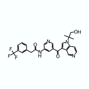 CC(C)(CO)n1cc(C(=O)c2cncc(NC(=O)Cc3cccc(C(F)(F)F)c3)c2)c2cnccc21